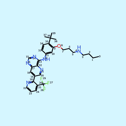 CCCCNCCCOc1cc(Nc2ncnc3cc(-c4ncccc4C(F)(F)F)cnc23)ccc1C(C)(C)C